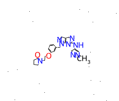 Cn1cc(Nc2ncc3cnn(Cc4cccc(OCCN5CCCC5=O)c4)c3n2)cn1